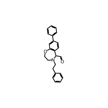 O=CC1c2ccc(-c3ccccc3)cc2OCCN1CCc1ccccc1